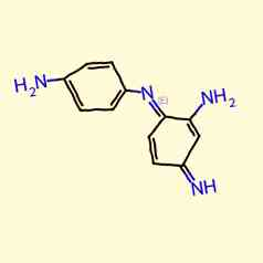 N=C1C=C/C(=N\c2ccc(N)cc2)C(N)=C1